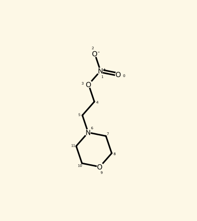 O=[N+]([O-])OCCN1CCOCC1